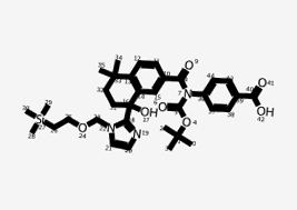 CC(C)(C)OC(=O)N(C(=O)c1ccc2c(c1)C(O)(c1nccn1COCC[Si](C)(C)C)CCC2(C)C)c1ccc(C(=O)O)cc1